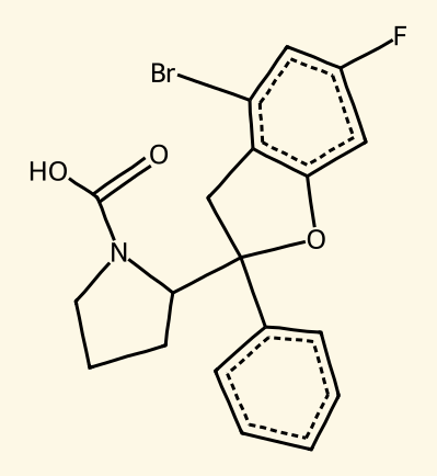 O=C(O)N1CCCC1C1(c2ccccc2)Cc2c(Br)cc(F)cc2O1